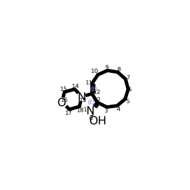 O/N=C1CCCCCCCC/C=C\1N1CCOCC1